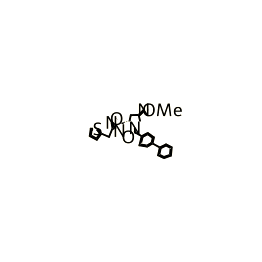 CON=C1C[C@@H](c2nc(Cc3cccs3)no2)N(C(=O)c2ccc(-c3ccccc3)cc2)C1